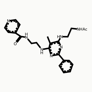 CC(=O)NCCNc1nc(-c2ccccc2)nc(NCCNC(=O)c2ccncc2)c1C